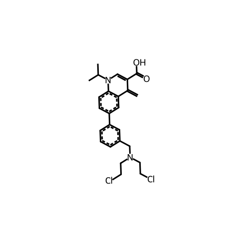 C=C1C(C(=O)O)=CN(C(C)C)c2ccc(-c3cccc(CN(CCCl)CCCl)c3)cc21